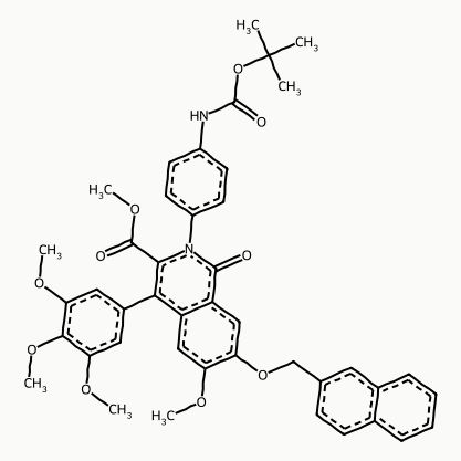 COC(=O)c1c(-c2cc(OC)c(OC)c(OC)c2)c2cc(OC)c(OCc3ccc4ccccc4c3)cc2c(=O)n1-c1ccc(NC(=O)OC(C)(C)C)cc1